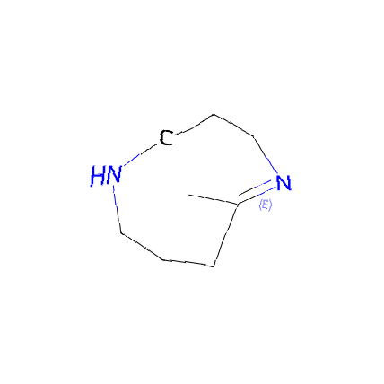 C/C1=N\CCCNCCC1